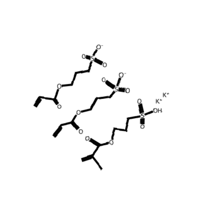 C=C(C)C(=O)OCCCS(=O)(=O)O.C=CC(=O)OCCCS(=O)(=O)[O-].C=CC(=O)OCCCS(=O)(=O)[O-].[K+].[K+]